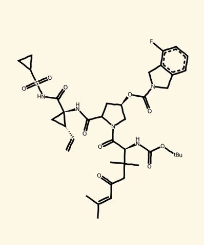 C=C[C@@H]1C[C@]1(NC(=O)C1C[C@@H](OC(=O)N2Cc3cccc(F)c3C2)CN1C(=O)[C@@H](NC(=O)OC(C)(C)C)C(C)(C)CC(=O)C=C(C)C)C(=O)NS(=O)(=O)C1CC1